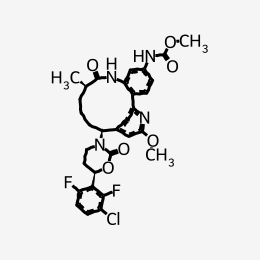 COC(=O)Nc1ccc2c(c1)NC(=O)[C@H](C)CCC[C@H](N1CC[C@H](c3c(F)ccc(Cl)c3F)OC1=O)c1cc(OC)nc-2c1